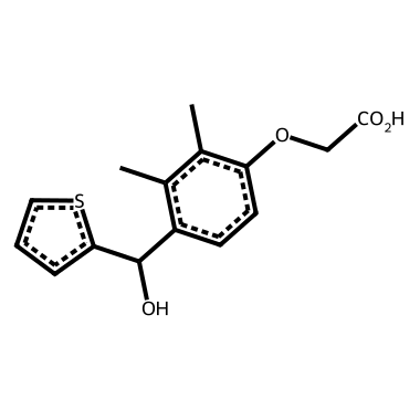 Cc1c(OCC(=O)O)ccc(C(O)c2cccs2)c1C